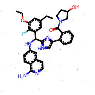 CCOc1cc(CC)cc(C(Nc2ccc3c(N)nccc3c2)c2nc(-c3ccccc3C(=O)N3CCC(O)C3)c[nH]2)c1F